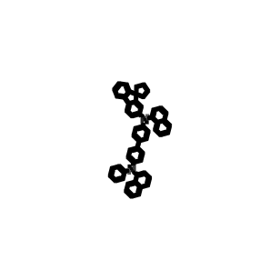 c1ccc(N(c2ccc(-c3ccc(N(c4ccc5c(c4)C4(CCCC4)c4ccccc4-5)c4cccc5ccccc45)cc3)cc2)c2cccc3ccccc23)cc1